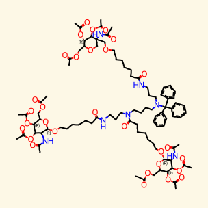 CC(=O)NC1C(OC(C)=O)[C@@H](OC(C)=O)C(COC(C)=O)O[C@H]1OCCCCCCC(=O)NCCCN(CCCCN(CCCNC(=O)CCCCCCOCC1(NC(C)=O)COC(COC(C)=O)[C@H](OC(C)=O)C1OC(C)=O)C(c1ccccc1)(c1ccccc1)c1ccccc1)C(=O)CCCCCCO[C@@H]1OC(COC(C)=O)[C@H](OC(C)=O)C(OC(C)=O)C1NC(C)=O